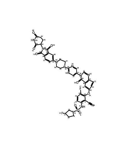 N#Cc1c(NS(=O)(=O)N2CC[C@@H](F)C2)ccc(F)c1Oc1ccc2ncn(-c3cnc(N4CCN(c5ccc6c(c5)C(=O)N(C5CCC(=O)NC5=O)C6=O)CC4)nc3)c(=O)c2c1